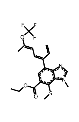 C=C/C(=C\C=C(/C)OC(F)(F)F)c1cc(C(=O)OCC)c(SC)c2c1ncn2C